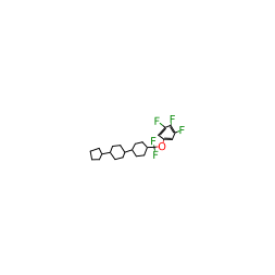 Fc1cc(OC(F)(F)C2CCC(C3CCC(C4CCCC4)CC3)CC2)cc(F)c1F